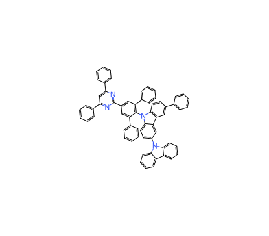 c1ccc(-c2ccc3c(c2)c2cc(-n4c5ccccc5c5ccccc54)ccc2n3-c2c(-c3ccccc3)cc(-c3nc(-c4ccccc4)cc(-c4ccccc4)n3)cc2-c2ccccc2)cc1